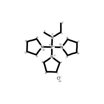 CCN(C)[P+](N1CCCC1)(N1CCCC1)N1CCCC1.[Cl-]